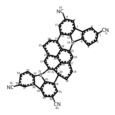 N#Cc1ccc2c(c1)-c1cc(C#N)cc3c1B2c1cc2ccc4c5c(cc6ccc-3c1c6c25)B1c2ccc(C#N)cc2-c2cc(C#N)cc-4c21